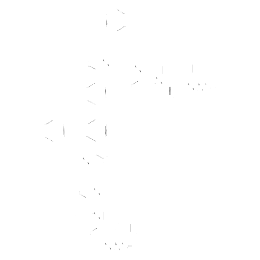 CN[C@@H](C)C(=O)N[C@H](C(=O)N1CCCC[C@H]1CN(CCc1ccccc1)C(=O)c1ccc(-c2ccc(C(=O)N(CCc3ccccc3)C[C@@H]3CCCCN3C(=O)[C@@H](NC(=O)[C@H](C)NC)C3CCCCC3)cc2)cc1)C1CCCCC1